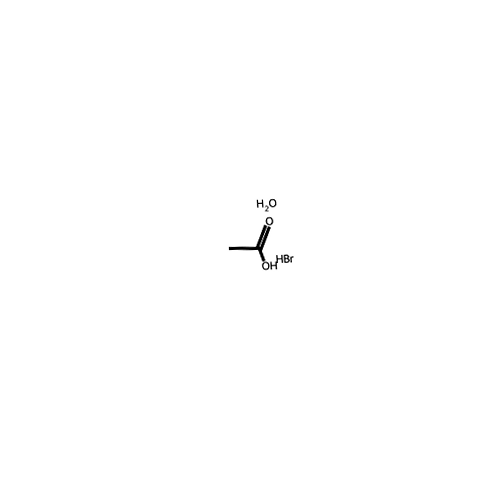 Br.CC(=O)O.O